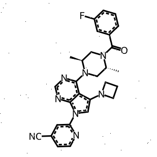 C[C@@H]1CN(c2ncnc3c2c(N2CCC2)cn3-c2cc(C#N)ccn2)[C@@H](C)CN1C(=O)c1cccc(F)c1